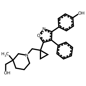 CC1(CO)CCCN(CC2(c3onc(-c4ccc(O)cc4)c3-c3ccccc3)CC2)C1